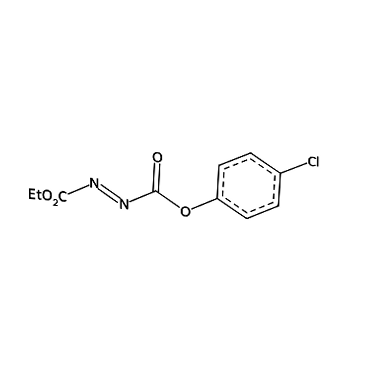 CCOC(=O)N=NC(=O)Oc1ccc(Cl)cc1